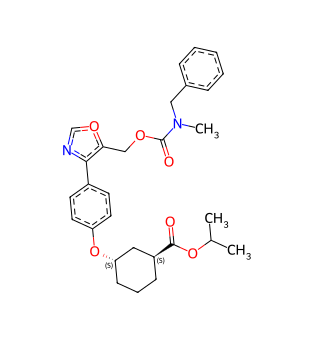 CC(C)OC(=O)[C@H]1CCC[C@H](Oc2ccc(-c3ncoc3COC(=O)N(C)Cc3ccccc3)cc2)C1